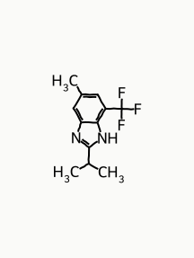 Cc1cc(C(F)(F)F)c2[nH]c(C(C)C)nc2c1